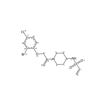 C=CS(=O)(=O)NC1CCN(C(=O)COc2ccc(Cl)cc2Br)CC1